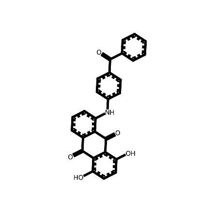 O=C(c1ccccc1)c1ccc(Nc2cccc3c2C(=O)c2c(O)ccc(O)c2C3=O)cc1